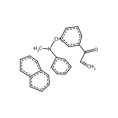 C=CC(=O)c1ccccc1.CN(C)c1ccccc1.c1ccc2ccccc2c1